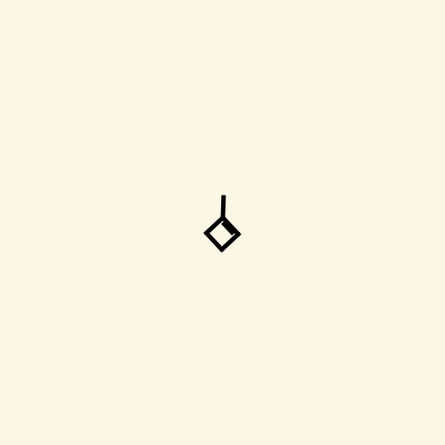 CC1=CCC1